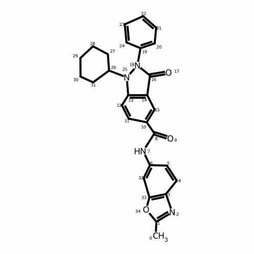 Cc1nc2ccc(NC(=O)c3ccc4c(c3)c(=O)n(-c3ccccc3)n4C3CCCCC3)cc2o1